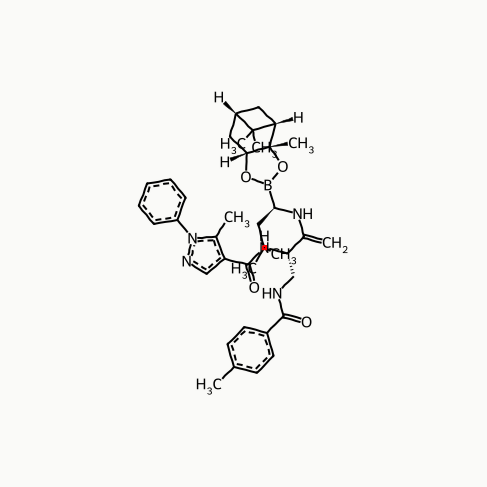 C=C(N[C@@H](CC(C)C)B1O[C@@H]2C[C@@H]3C[C@@H](C3(C)C)[C@]2(C)O1)[C@H](CNC(=O)c1ccc(C)cc1)NC(=O)c1cnn(-c2ccccc2)c1C